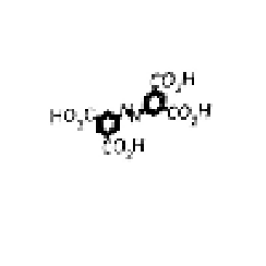 O=C(O)c1cc(/N=N/c2cc(C(=O)O)cc(C(=O)O)c2)cc(C(=O)O)c1